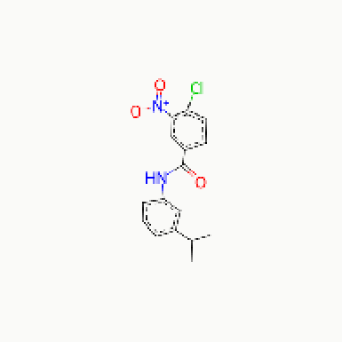 CC(C)c1cccc(NC(=O)c2ccc(Cl)c([N+](=O)[O-])c2)c1